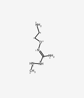 CNNC(N)=NOCCN